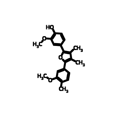 COc1cc(-c2oc(-c3ccc(O)c(OC)c3)c(C)c2C)ccc1C